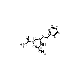 CC(=O)NCC(CCc1ccccc1)NC(C)=O